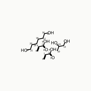 C=CC(=O)O.C=CC(=O)O.CC(O)CO.OCCCCCCO